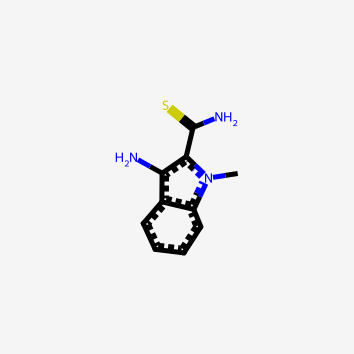 Cn1c(C(N)=S)c(N)c2ccccc21